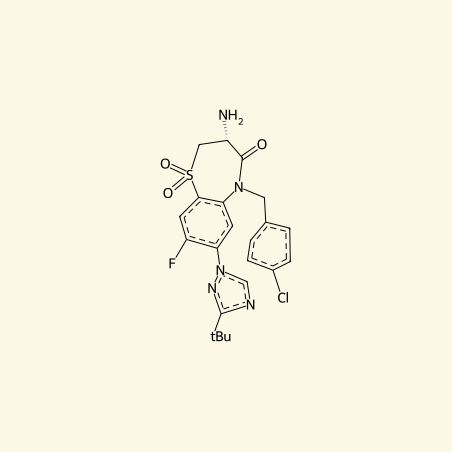 CC(C)(C)c1ncn(-c2cc3c(cc2F)S(=O)(=O)C[C@H](N)C(=O)N3Cc2ccc(Cl)cc2)n1